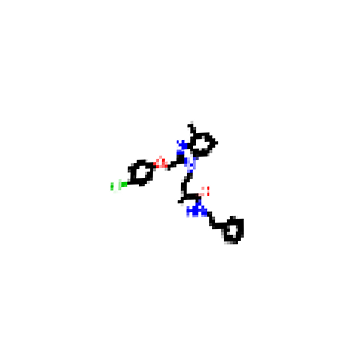 Cc1cccc2c1nc(COc1ccc(Cl)cc1)n2CCC(C)C(=O)NCCc1ccccc1